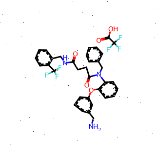 NCc1cccc(Oc2ccccc2N(Cc2ccccc2)C(=O)CCC(=O)NCc2ccccc2C(F)(F)F)c1.O=C(O)C(F)(F)F